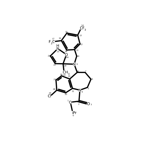 CC(C)OC(=O)N1CCCC(N(Cc2cc(C(F)(F)F)cc(C(F)(F)F)c2)C2(C)C=CNO2)c2ccc(Cl)cc21